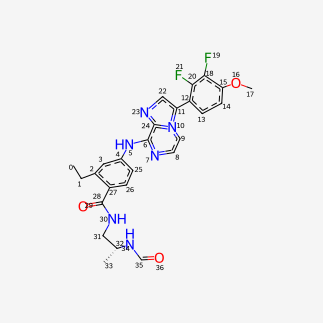 CCc1cc(Nc2nccn3c(-c4ccc(OC)c(F)c4F)cnc23)ccc1C(=O)NC[C@@H](C)NC=O